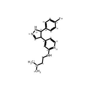 CN(C)CCNc1cc(C2C=NNC2c2ccc(F)cc2)ccn1